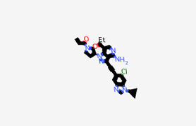 C=CC(=O)N1CC[C@H](n2nc(C#Cc3cc4ncn(C5CC5)c4cc3Cl)c3c(N)ncc(C(=O)CC)c32)C1